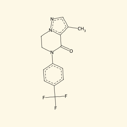 Cc1cnn2c1C(=O)N(c1ccc(C(F)(F)F)cc1)CC2